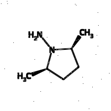 C[C@@H]1CC[C@H](C)N1N